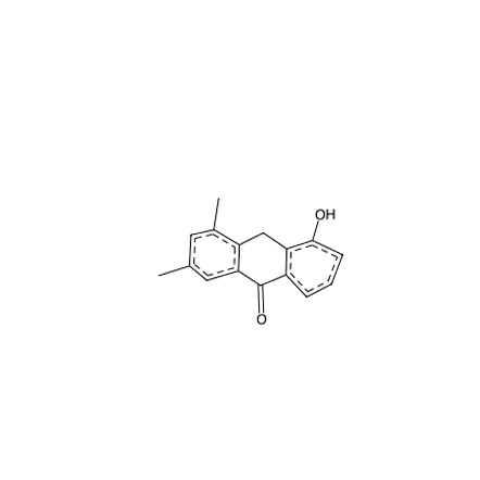 Cc1cc(C)c2c(c1)C(=O)c1cccc(O)c1C2